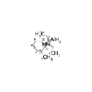 CCNCC.Cc1cc[c]cc1.[AlH3]